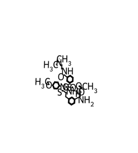 COc1ccc2nc(C(Cc3cccc(C(N)=NOC(C)=O)c3)NS(=O)(=O)c3cccc(C(=O)NCCN(C)C)c3)sc2c1